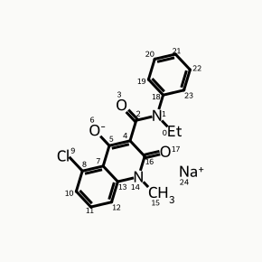 CCN(C(=O)c1c([O-])c2c(Cl)cccc2n(C)c1=O)c1ccccc1.[Na+]